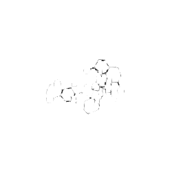 CC(C)(C)C1(Cc2cc3c(cn2)OCCO3)C[CH]CCN1CC1Cn2c3c(ccc2=O)CCC(=O)N31